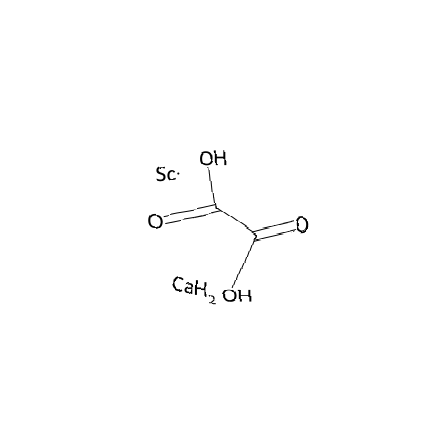 O=C(O)C(=O)O.[CaH2].[Sc]